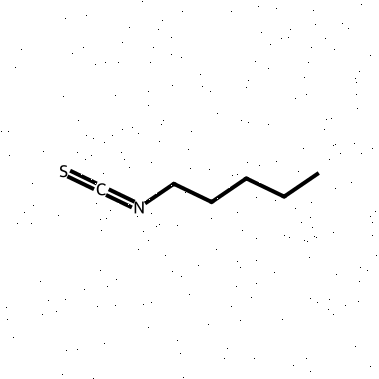 CCCCCN=C=S